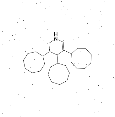 [CH]1NC=C(C2CCCCCCC2)C(C2CCCCCCC2)C1C1CCCCCCC1